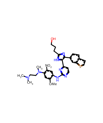 COc1cc(N(C)CCN(C)C)c([N+](=O)[O-])cc1Nc1nccc(-c2[nH]c(CCCO)nc2-c2ccc3ccsc3c2)n1